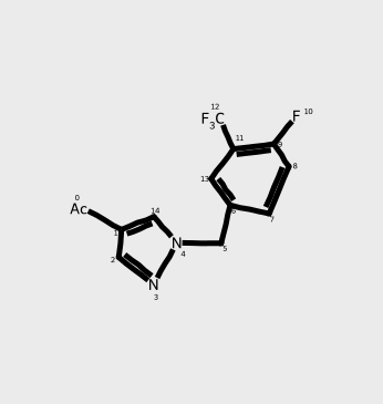 CC(=O)c1cnn(Cc2ccc(F)c(C(F)(F)F)c2)c1